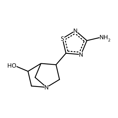 Nc1nsc(C2CN3CC(O)C2C3)n1